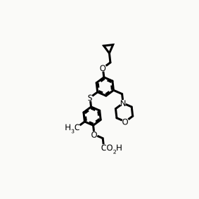 Cc1cc(Sc2cc(CN3CCOCC3)cc(OCC3CC3)c2)ccc1OCC(=O)O